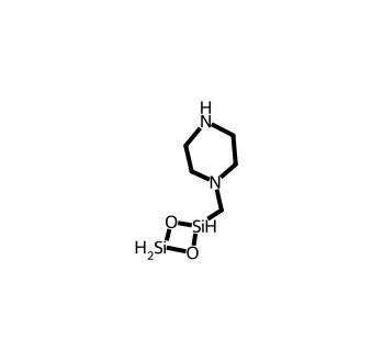 C1CN(C[SiH]2O[SiH2]O2)CCN1